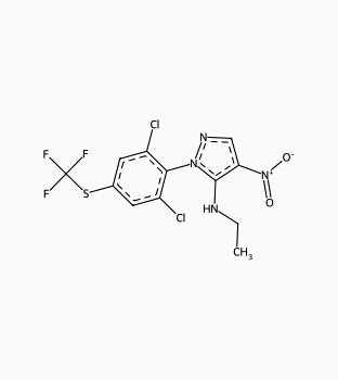 CCNc1c([N+](=O)[O-])cnn1-c1c(Cl)cc(SC(F)(F)F)cc1Cl